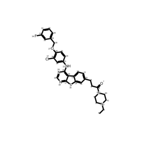 CCN1CCN(C(=O)CCc2ccc3c(c2)sc2ncnc(Nc4ccc(OCc5cccc(F)c5)c(Cl)c4)c23)CC1